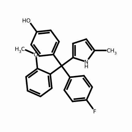 COc1ccccc1C(c1ccc(O)cc1)(c1ccc(F)cc1)c1ccc(C)[nH]1